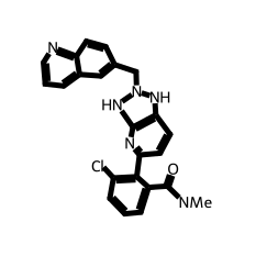 CNC(=O)c1cccc(Cl)c1-c1ccc2c(n1)NN(Cc1ccc3ncccc3c1)N2